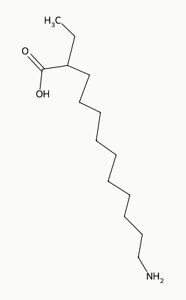 CCC(CCCCCCCCCCN)C(=O)O